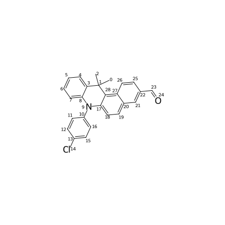 CC1(C)c2ccccc2N(c2ccc(Cl)cc2)c2ccc3cc(C=O)ccc3c21